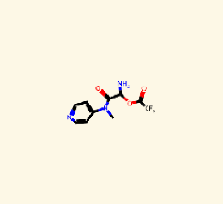 CN(C(=O)C(N)OC(=O)C(F)(F)F)c1ccncc1